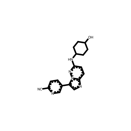 N#Cc1ccc(-c2cnc3ccc(NC4CCC(O)CC4)nn23)cn1